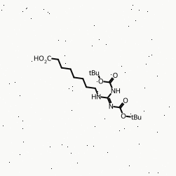 CC(C)(C)OC(=O)N=C(NCCCCCCCC(=O)O)NC(=O)OC(C)(C)C